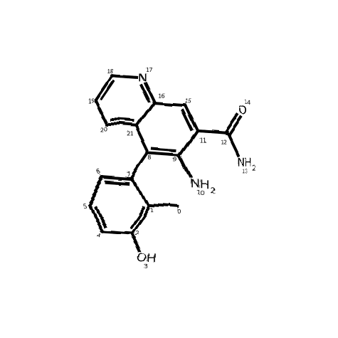 Cc1c(O)cccc1-c1c(N)c(C(N)=O)cc2ncccc12